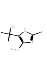 CCCC(C)c1nc(C(C)C)[nH]c1C(C)(C)CCC